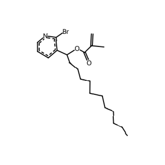 C=C(C)C(=O)OC(CCCCCCCCCCC)c1cccnc1Br